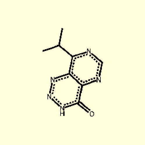 CC(C)c1ncnc2c(=O)[nH]nnc12